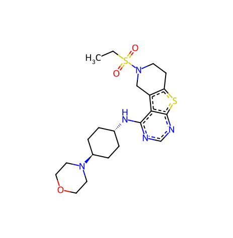 CCS(=O)(=O)N1CCc2sc3ncnc(N[C@H]4CC[C@H](N5CCOCC5)CC4)c3c2C1